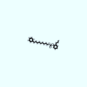 CCCc1ccccc1OC(=O)OCCCCCCCCCc1ccccc1